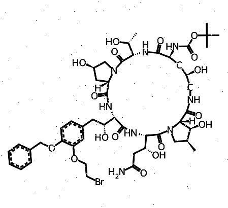 C[C@@H](O)[C@@H]1NC(=O)[C@@H](NC(=O)OC(C)(C)C)C[C@@H](O)CNC(=O)[C@@H]2[C@@H](O)[C@@H](C)CN2C(=O)[C@H]([C@H](O)CC(N)=O)NC(=O)[C@H]([C@H](O)Cc2ccc(OCc3ccccc3)c(OCCBr)c2)NC(=O)[C@@H]2C[C@@H](O)CN2C1=O